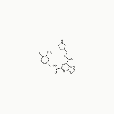 Cc1cc(CNC(=O)c2cc(C(=O)NCC3CCNC3)n3ncnc3n2)ccc1F